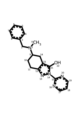 CN(Cc1ccccc1)C1CCc2nn(-c3ncccn3)c(O)c2C1